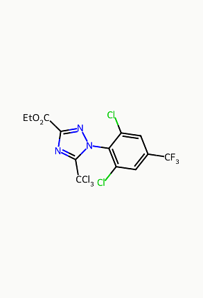 CCOC(=O)c1nc(C(Cl)(Cl)Cl)n(-c2c(Cl)cc(C(F)(F)F)cc2Cl)n1